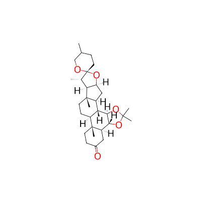 CC1CC[C@@]2(OC1)O[C@H]1C[C@H]3[C@@H]4[C@H]5OC(C)(C)O[C@@H]5[C@H]5CC(=O)CC[C@]5(C)[C@H]4CC[C@]3(C)[C@H]1[C@@H]2C